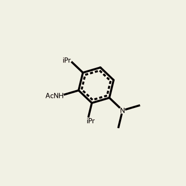 CC(=O)Nc1c(C(C)C)ccc(N(C)C)c1C(C)C